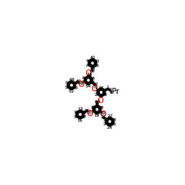 CC(C)Cc1cc(OCc2cc(OCc3ccccc3)cc(OCc3ccccc3)c2)cc(OCc2cc(OCc3ccccc3)cc(OCc3ccccc3)c2)c1